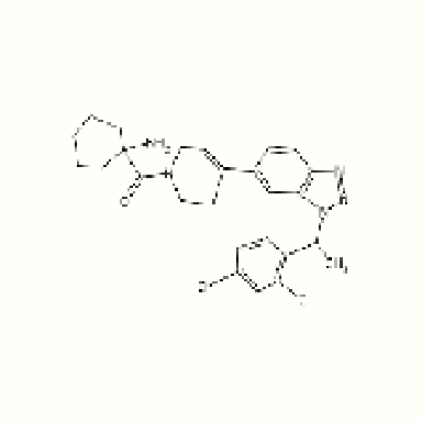 C[C@H](c1ccc(Cl)cc1Cl)n1nnc2ccc(C3=CCN(C(=O)C4(N)CCCCC4)CC3)cc21